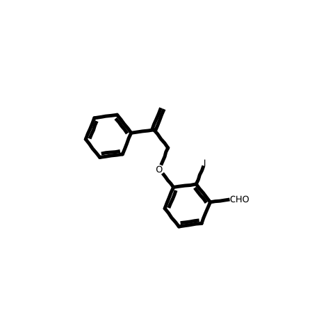 C=C(COc1cccc(C=O)c1I)c1ccccc1